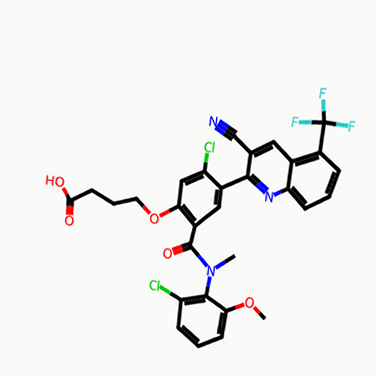 COc1cccc(Cl)c1N(C)C(=O)c1cc(-c2nc3cccc(C(F)(F)F)c3cc2C#N)c(Cl)cc1OCCCC(=O)O